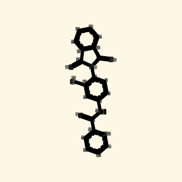 O=C(Nc1ccc(N2C(=O)c3ccccc3C2=O)c(Cl)c1)c1ccccn1